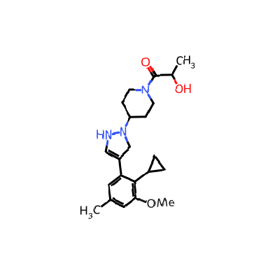 COc1cc(C)cc(C2=CNN(C3CCN(C(=O)C(C)O)CC3)C2)c1C1CC1